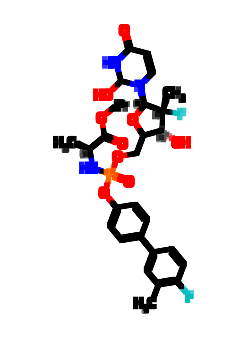 Cc1cc(-c2ccc(OP(=O)(N[C@@H](C)C(=O)OC(C)C)OCC3O[C@@H](N4C=CC(=O)NC4O)[C@](C)(F)[C@@H]3O)cc2)ccc1F